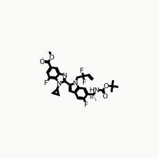 C=CC(F)(F)Cn1c(-c2nc3cc(C(=O)OC)cc(F)c3n2C2CC2)cc2cc(F)c([C@@H](C)NC(=O)OC(C)(C)C)cc21